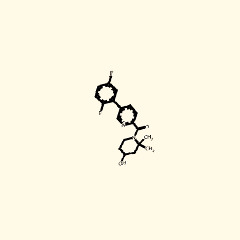 CC1(C)CC(O)CCN1C(=O)c1ccc(-c2cc(F)ccc2F)cn1